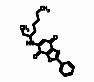 CCCCCC(CC)NC1=CC(=O)c2nc(-c3ccccc3)oc2C1=O